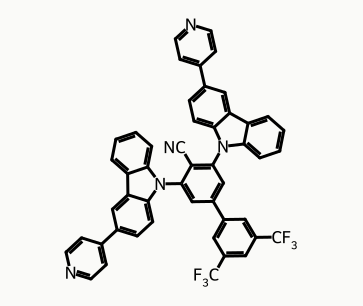 N#Cc1c(-n2c3ccccc3c3cc(-c4ccncc4)ccc32)cc(-c2cc(C(F)(F)F)cc(C(F)(F)F)c2)cc1-n1c2ccccc2c2cc(-c3ccncc3)ccc21